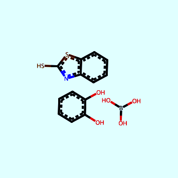 OB(O)O.Oc1ccccc1O.Sc1nc2ccccc2s1